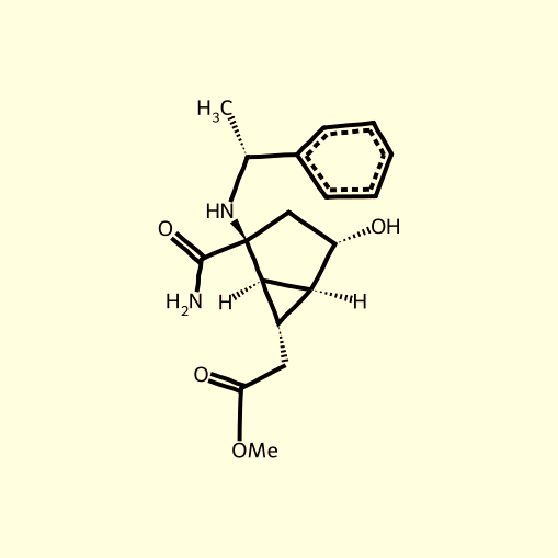 COC(=O)C[C@H]1[C@H]2[C@@H]1[C@](N[C@H](C)c1ccccc1)(C(N)=O)C[C@@H]2O